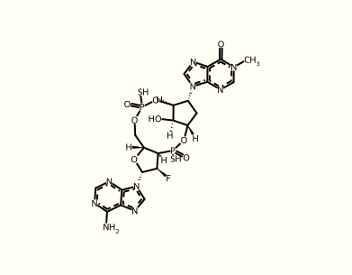 Cn1cnc2c(ncn2[C@@H]2C[C@@H]3OP(=O)(S)[C@H]4[C@@H](F)[C@H](n5cnc6c(N)ncnc65)O[C@@H]4COP(=O)(S)O[C@@H]2[C@@H]3O)c1=O